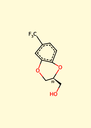 OC[C@H]1COc2cc(C(F)(F)F)ccc2O1